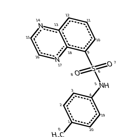 Cc1ccc(NS(=O)(=O)c2cccc3nccnc23)cc1